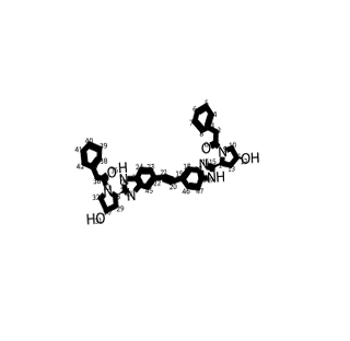 O=C(Cc1ccccc1)N1C[C@H](O)C[C@H]1c1nc2cc(C#Cc3ccc4[nH]c([C@@H]5C[C@@H](O)CN5C(=O)Cc5ccccc5)nc4c3)ccc2[nH]1